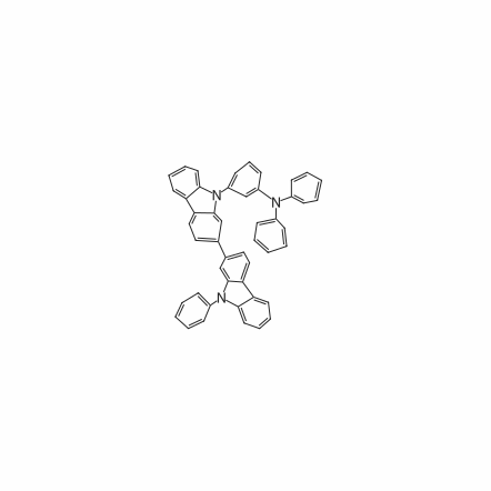 c1ccc(N(c2ccccc2)c2cccc(-n3c4ccccc4c4ccc(-c5ccc6c7ccccc7n(-c7ccccc7)c6c5)cc43)c2)cc1